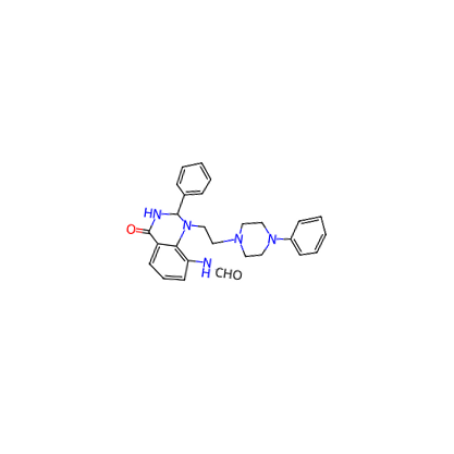 O=CNc1cccc2c1N(CCN1CCN(c3ccccc3)CC1)C(c1ccccc1)NC2=O